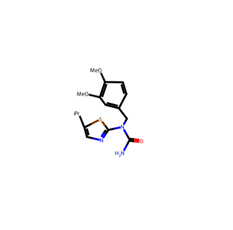 COc1ccc(CN(C(N)=O)c2ncc(C(C)C)s2)cc1OC